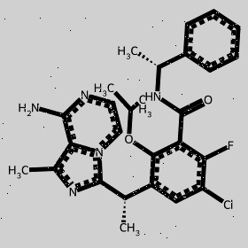 Cc1nc([C@@H](C)c2cc(Cl)c(F)c(C(=O)N[C@H](C)c3ccccc3)c2OC(C)C)n2ccnc(N)c12